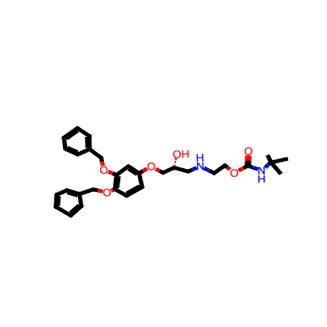 CC(C)(C)NC(=O)OCCNC[C@@H](O)COc1ccc(OCc2ccccc2)c(OCc2ccccc2)c1